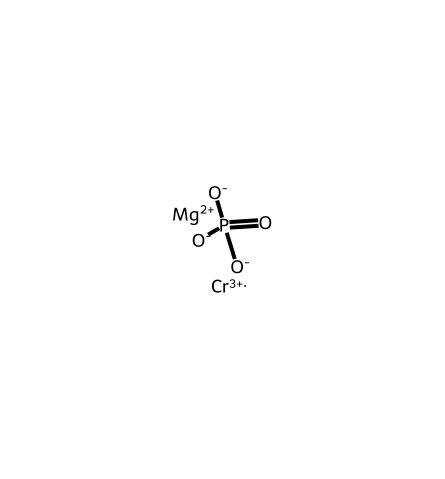 O=P([O-])([O-])[O-].[Cr+3].[Mg+2]